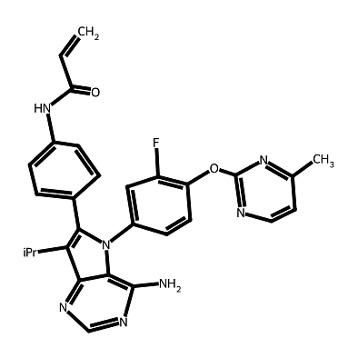 C=CC(=O)Nc1ccc(-c2c(C(C)C)c3ncnc(N)c3n2-c2ccc(Oc3nccc(C)n3)c(F)c2)cc1